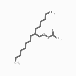 CCCCCCCCC(CCCCCC)CSSC(C)=O